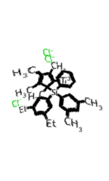 CCc1cc(CC)cc([Si](c2ccccc2)(c2cc(C)cc(C)c2)C2(C)C(C)=C(C)C(C)=[C]2[Ti+3])c1.[Cl-].[Cl-].[Cl-]